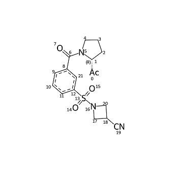 CC(=O)[C@H]1CCCN1C(=O)c1cccc(S(=O)(=O)N2CC(C#N)C2)c1